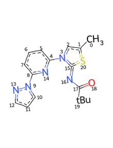 Cc1cn(-c2cccc(-n3cccn3)n2)/c(=N/C(=O)C(C)(C)C)s1